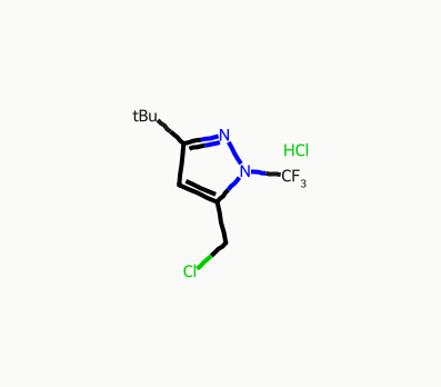 CC(C)(C)c1cc(CCl)n(C(F)(F)F)n1.Cl